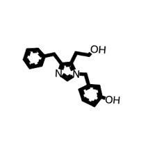 OCCc1c(Cc2ccccc2)ncn1Cc1cccc(O)c1